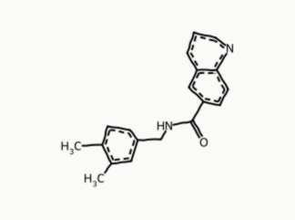 Cc1ccc(CNC(=O)c2ccc3ncccc3c2)cc1C